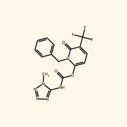 Cn1nnnc1NC(=O)Oc1ccc(C(F)(F)F)c(=O)n1Cc1ccccc1